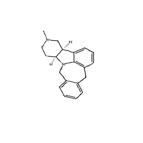 CN1CC[C@H]2[C@@H](C1)c1cccc3c1N2Cc1ccccc1C3